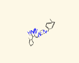 Cc1ccc(CN2CCN(Cc3n[nH]c(C)c3-c3ccccc3C)CC2)cc1